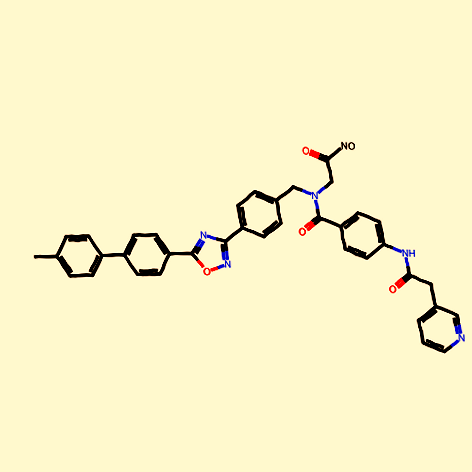 Cc1ccc(-c2ccc(-c3nc(-c4ccc(CN(CC(=O)N=O)C(=O)c5ccc(NC(=O)Cc6cccnc6)cc5)cc4)no3)cc2)cc1